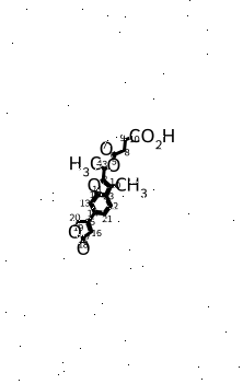 Cc1c(C(C)OC(=O)CCC(=O)O)oc2cc(C3=CC(=O)OC3)ccc12